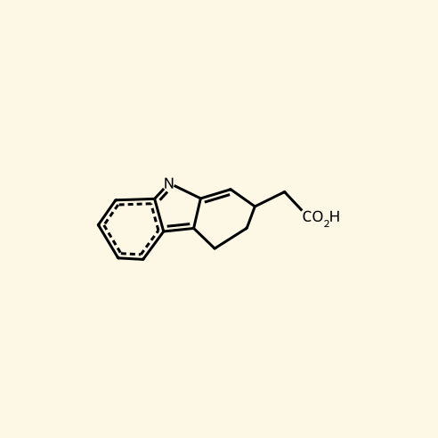 O=C(O)CC1C=C2N=c3ccccc3=C2CC1